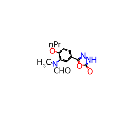 CCCOc1ccc(-c2n[nH]c(=O)o2)cc1N(C)C=O